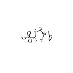 O=CN1CCC(S(=O)(=O)Cl)CC1